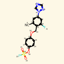 N#Cc1cc(-n2cncn2)cc(F)c1COc1ccc(OS(=O)(=O)F)cc1